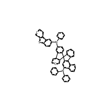 c1ccc(N(c2ccc3c(c2)-c2ccccc2C32c3ccccc3-c3c2cc(N(c2ccccc2)c2ccccc2)c2ccccc32)c2ccc3sc4ccccc4c3c2)cc1